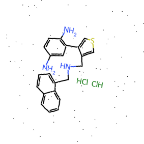 Cl.Cl.Nc1ccc(N)c(-c2cscc2CNCc2cccc3ccccc23)c1